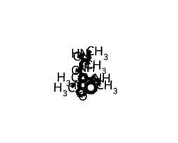 CCN(c1cc(C2CNN(C)C23CCCCCCC3)cc(C(=O)NCc2c(C)cc(C)[nH]c2=O)c1C)C1CCOCC1